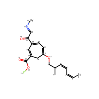 CC/C=C\C=C/C(C)COC1=CC=C(C(=O)/C=N/C(C)C)C=C(C(=O)OF)C1